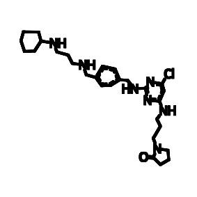 O=C1CCCN1CCCNc1cc(Cl)nc(NCc2ccc(CNCCCNC3CCCCC3)cc2)n1